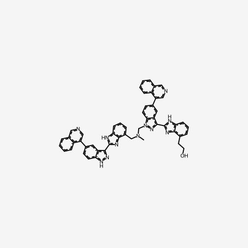 CN(Cc1cccc2[nH]c(-c3n[nH]c4ccc(-c5cncc6ccccc56)cc34)nc12)Cn1nc(-c2nc3c(CCO)cccc3[nH]2)c2cc(-c3cncc4ccccc34)ccc21